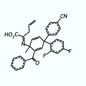 C=CCC(=NC1(C)C=CC(c2ccc(C#N)cc2)(c2ccc(F)cc2F)C=C1C(=O)c1ccccc1)C(=O)O